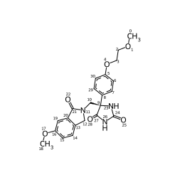 COCCOc1ccc([C@]2(CN3Cc4ccc(OC)cc4C3=O)NC(=O)NC2=O)cc1